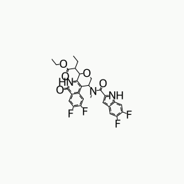 CCOC(=O)C(CC)C1OCC(N(C)C(=O)c2cc3cc(F)c(F)cc3[nH]2)c2c1[nH]c(=O)c1cc(F)c(F)cc21